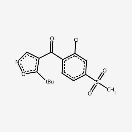 CC(C)(C)c1oncc1C(=O)c1ccc(S(C)(=O)=O)cc1Cl